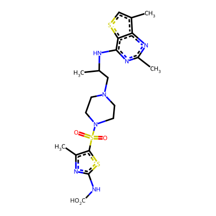 Cc1nc(NC(C)CN2CCN(S(=O)(=O)c3sc(NC(=O)O)nc3C)CC2)c2scc(C)c2n1